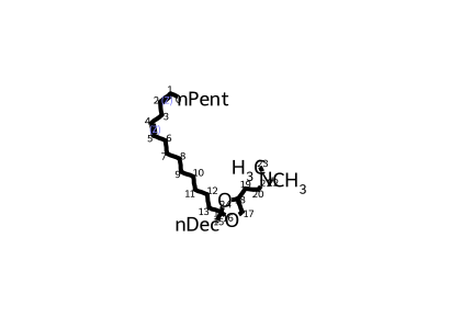 CCCCC/C=C\C/C=C\CCCCCCCCC1(CCCCCCCCCC)OCC(CCN(C)C)O1